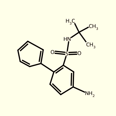 CC(C)(C)NS(=O)(=O)c1cc(N)ccc1-c1ccccc1